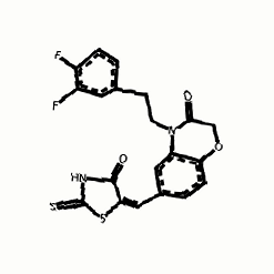 O=C1NC(=S)SC1=Cc1ccc2c(c1)N(CCc1ccc(F)c(F)c1)C(=O)CO2